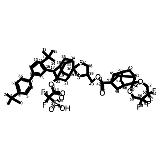 CC(C)(C)c1ccc(-c2ccc(C(C)(C)C)c(C3C4CC5CC3(OC(=O)C(F)(F)S(=O)(=O)O)CC(C4)C53SCC(COC(=O)C45CC6CC(C4)C4(OCC(F)(F)C(F)(F)CO4)C(C6)C5)S3)c2)cc1